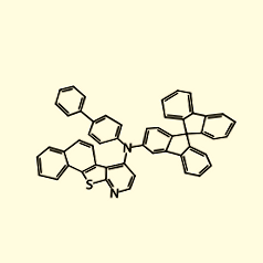 c1ccc(-c2ccc(N(c3ccc4c(c3)-c3ccccc3C43c4ccccc4-c4ccccc43)c3ccnc4sc5c6ccccc6ccc5c34)cc2)cc1